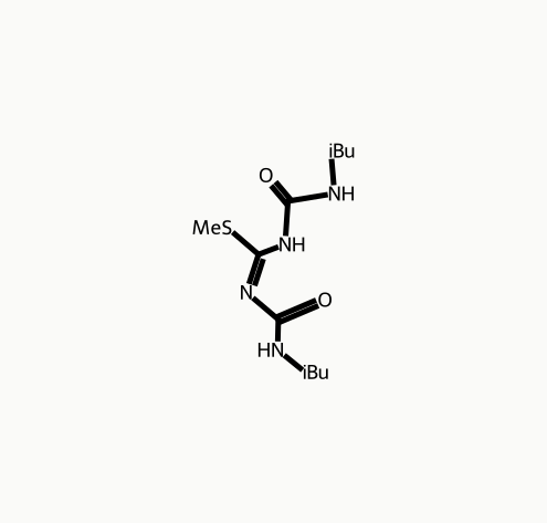 CCC(C)NC(=O)N=C(NC(=O)NC(C)CC)SC